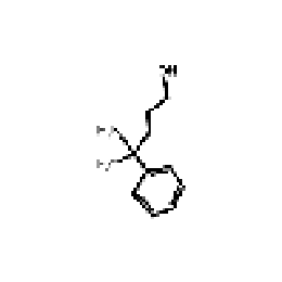 NC(CCCO)(c1ccccc1)C(F)(F)F